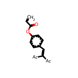 C=CC(=O)Oc1ccc(C=C(C(C)=O)C(C)=O)cc1